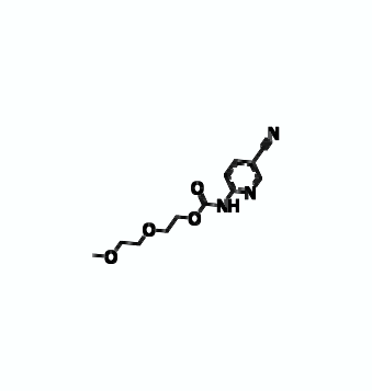 COCCOCCOC(=O)Nc1ccc(C#N)cn1